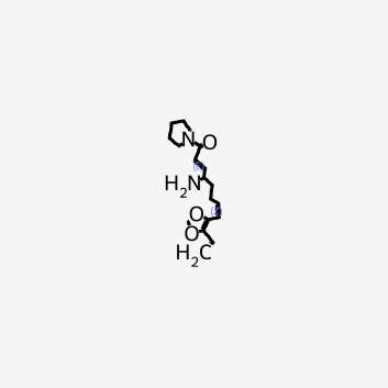 C=CC1=C(/C=C\CCC(N)/C=C/C(=O)N2CCCCC2)OCO1